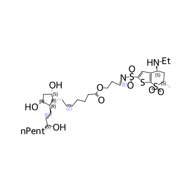 CCCCC[C@H](O)/C=C/[C@@H]1[C@@H](C/C=C\CCCC(=O)OCC/C=N/S(=O)(=O)c2cc3c(s2)S(=O)(=O)[C@@H](C)C[C@@H]3NCC)[C@@H](O)C[C@H]1O